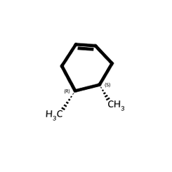 C[C@@H]1CC=CC[C@@H]1C